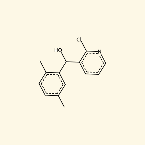 Cc1ccc(C)c(C(O)c2cccnc2Cl)c1